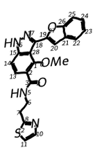 COc1c(C(=O)NCCc2nccs2)ccc2[nH]nc(-c3cc4ccccc4o3)c12